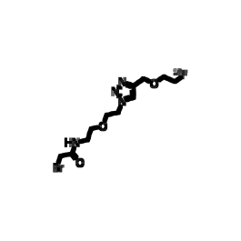 O=C(CBr)NCCOCCn1cc(COCC[18F])nn1